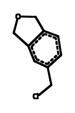 ClCc1ccc2c(c1)COC2